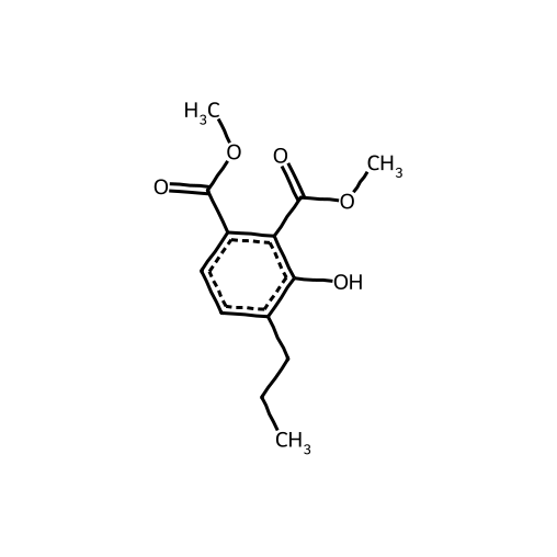 CCCc1ccc(C(=O)OC)c(C(=O)OC)c1O